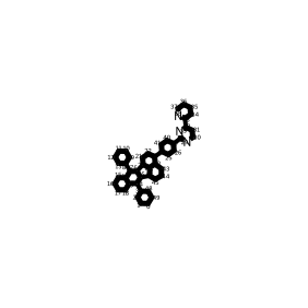 c1ccc(-c2c3c(c(-c4ccccc4)c4ccccc24)-c2ccc(-c4ccc(-c5nccc(-c6ccccn6)n5)cc4)c4cccc-3c24)cc1